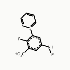 CC(C)Nc1cc(C(=O)O)c(F)c(S2=CC=CC=N2)c1